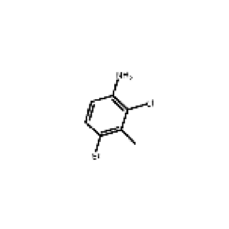 CCc1ccc(N)c(Cl)c1C